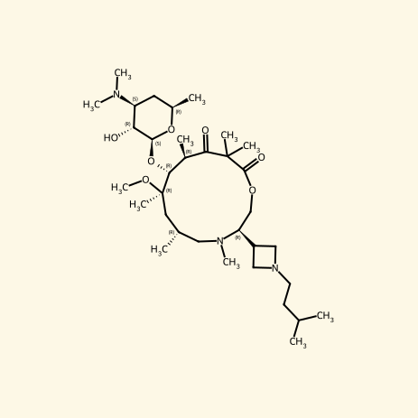 CO[C@]1(C)C[C@@H](C)CN(C)[C@H](C2CN(CCC(C)C)C2)COC(=O)C(C)(C)C(=O)[C@H](C)[C@H]1O[C@@H]1O[C@H](C)C[C@H](N(C)C)[C@H]1O